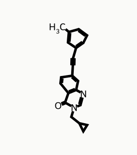 Cc1cccc(C#Cc2ccc3c(=O)n(CC4CC4)cnc3c2)c1